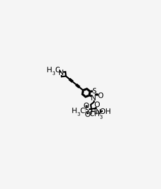 CN1CC(C#CC#Cc2ccc3c(c2)sc(=O)n3CC[C@](C)(C(=O)NO)S(C)(=O)=O)C1